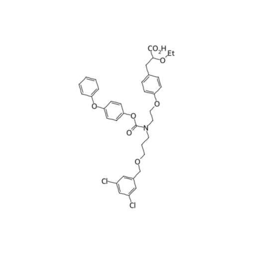 CCOC(Cc1ccc(OCCN(CCCOCc2cc(Cl)cc(Cl)c2)C(=O)Oc2ccc(Oc3ccccc3)cc2)cc1)C(=O)O